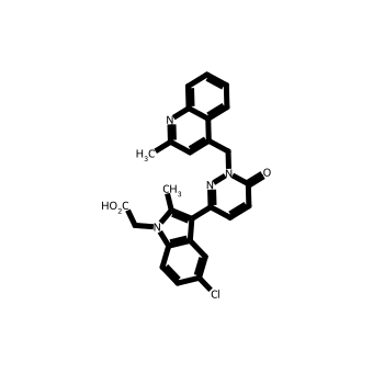 Cc1cc(Cn2nc(-c3c(C)n(CC(=O)O)c4ccc(Cl)cc34)ccc2=O)c2ccccc2n1